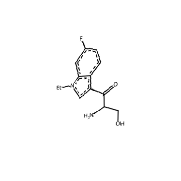 CCn1cc(C(=O)C(N)CO)c2ccc(F)cc21